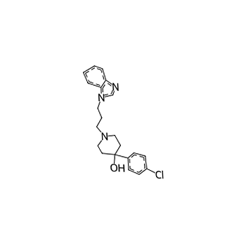 OC1(c2ccc(Cl)cc2)CCN(CCCn2cnc3ccccc32)CC1